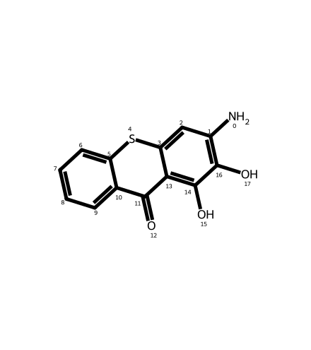 Nc1cc2sc3ccccc3c(=O)c2c(O)c1O